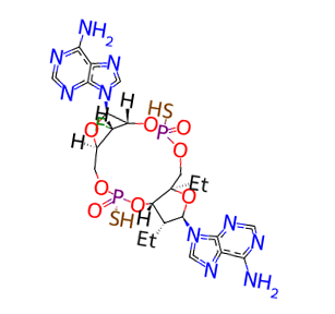 CC[C@H]1[C@H](n2cnc3c(N)ncnc32)O[C@]2(CC)COP(=O)(S)O[C@@H]3[C@@H](F)[C@@H](CO[P@@](=O)(S)O[C@@H]12)O[C@H]3n1cnc2c(N)ncnc21